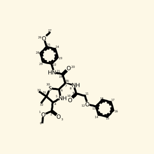 COC(=O)C1NC([C@H](NC(=O)COc2ccccc2)C(=O)Nc2ccc(OC)cc2)SC1(C)C